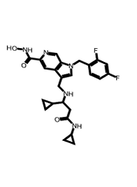 O=C(CC(NCc1cn(Cc2ccc(F)cc2F)c2cnc(C(=O)NO)cc12)C1CC1)NC1CC1